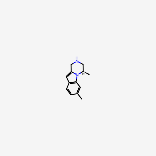 Cc1ccc2cc3n(c2c1)[C@H](C)CNC3